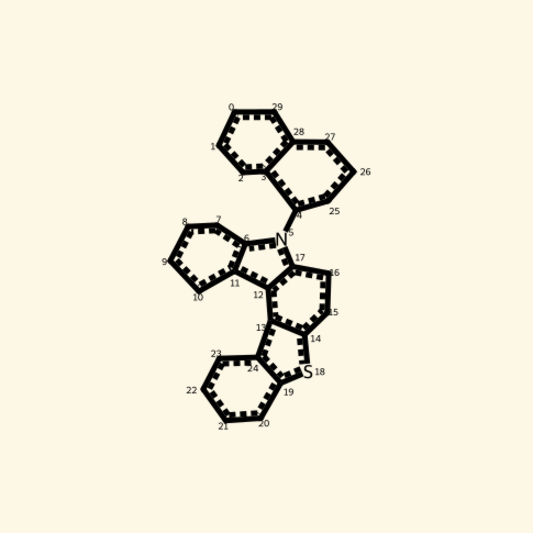 c1ccc2c(-n3c4ccccc4c4c5c(ccc43)sc3ccccc35)cccc2c1